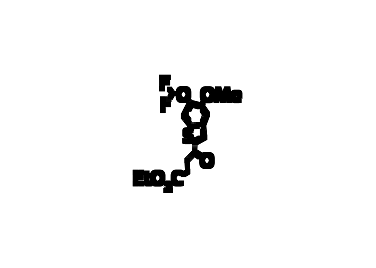 CCOC(=O)CCC(=O)c1cc2cc(OC)c(OC(F)F)cc2s1